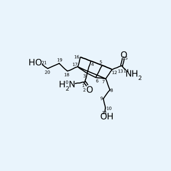 NC(=O)C12C3C4C1C1(CCCO)C4(C(N)=O)C3C21CCCO